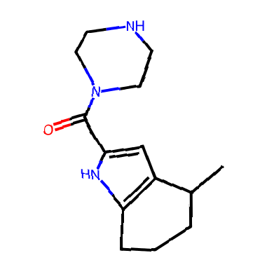 CC1CCCc2[nH]c(C(=O)N3CCNCC3)cc21